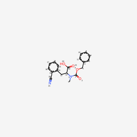 CN(C(=O)OCc1ccccc1)C(Cc1ccccc1C#N)C(=O)O